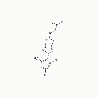 CCC(O)CNc1nc2nn(-c3c(C)cc(C)cc3O)cc2s1